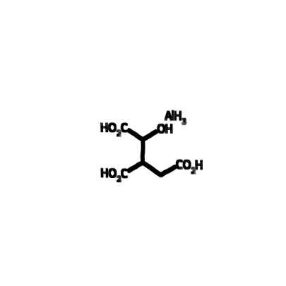 O=C(O)CC(C(=O)O)C(O)C(=O)O.[AlH3]